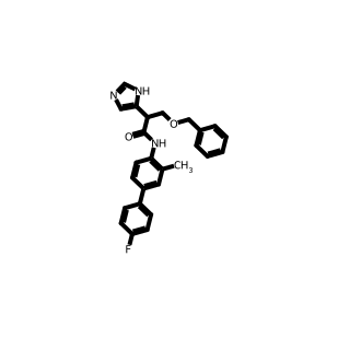 Cc1cc(-c2ccc(F)cc2)ccc1NC(=O)C(COCc1ccccc1)c1cnc[nH]1